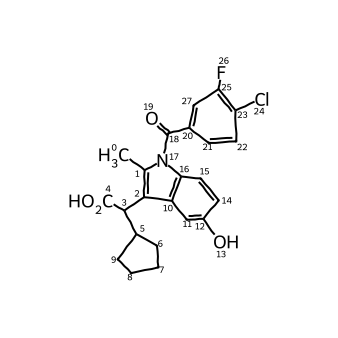 Cc1c(C(C(=O)O)C2CCCC2)c2cc(O)ccc2n1C(=O)c1ccc(Cl)c(F)c1